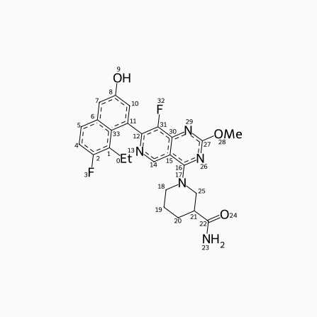 CCc1c(F)ccc2cc(O)cc(-c3ncc4c(N5CCCC(C(N)=O)C5)nc(OC)nc4c3F)c12